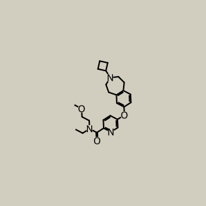 CCN(CCOC)C(=O)c1ccc(Oc2ccc3c(c2)CCN(C2CCC2)CC3)cn1